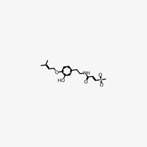 CC(C)=CCOc1ccc(CCNC(=O)/C=C/S(C)(=O)=O)cc1O